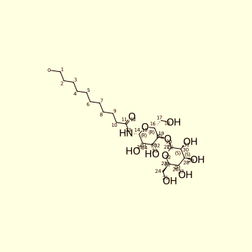 CCCCCCCCCCCC(=O)N[C@@H]1O[C@H](CO)[C@@H](O[C@@H]2O[C@H](CO)[C@@H](O)[C@H](O)[C@@H]2O)[C@H](O)[C@@H]1O